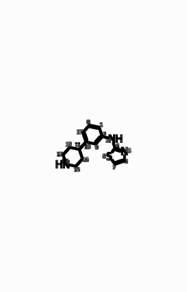 c1cc(Nc2nccs2)cc(C2CCNCC2)c1